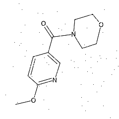 COc1ccc(C(=O)N2CCOCC2)cn1